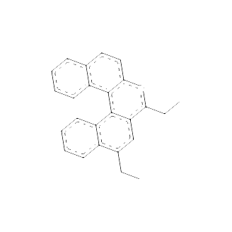 CCc1cc2c(CC)nc3ccc4ccccc4c3c2c2ccccc12